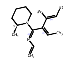 C=C\N=C(C(=C/C)/C(=C/CC)C(C)C)\N1CCCC[C@@H]1C